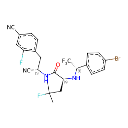 CC(C)(F)C[C@H](N[C@@H](c1ccc(Br)cc1)C(F)(F)F)C(=O)N[C@H](C#N)Cc1ccc(C#N)cc1F